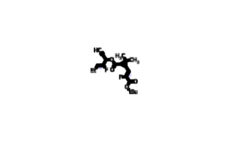 C#CC(OC(=O)C1C(/C=C(\F)C(=O)OC(C)(C)C)C1(C)C)/C(F)=C/CC